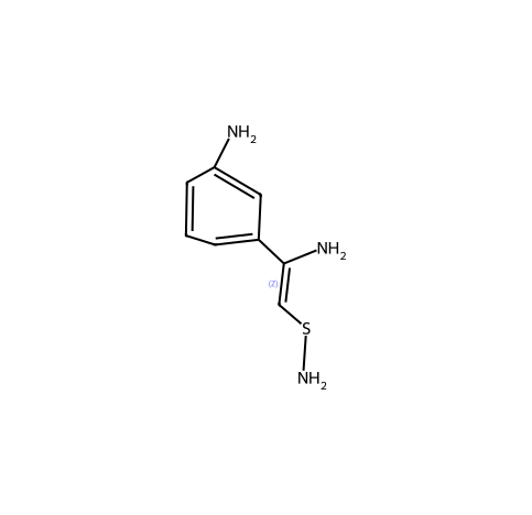 NS/C=C(\N)c1cccc(N)c1